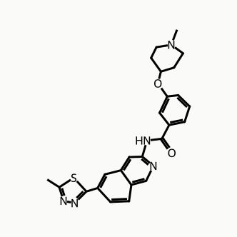 Cc1nnc(-c2ccc3cnc(NC(=O)c4cccc(OC5CCN(C)CC5)c4)cc3c2)s1